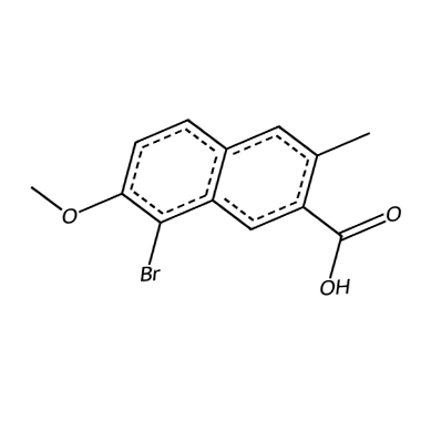 COc1ccc2cc(C)c(C(=O)O)cc2c1Br